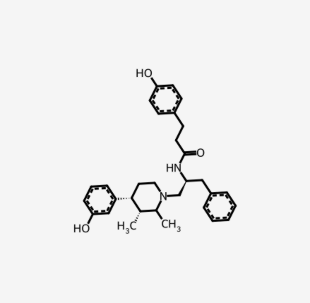 CC1[C@H](C)[C@H](c2cccc(O)c2)CCN1C[C@H](Cc1ccccc1)NC(=O)CCc1ccc(O)cc1